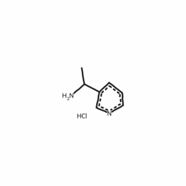 CC(N)c1cccnc1.Cl